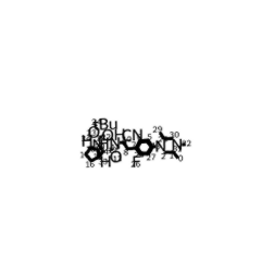 CC1CN(c2ccc(C[C@@H](C#N)NC(=O)[C@@H]3[C@H]4CC[C@H](C4)N3C(O)OC(C)(C)C)c(F)c2)C(C)CN1C